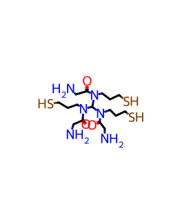 NCC(=O)N(CCCS)C(N(CCCS)C(=O)CN)N(CCCS)C(=O)CN